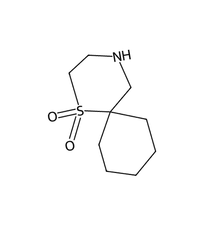 O=S1(=O)CCNCC12CCCCC2